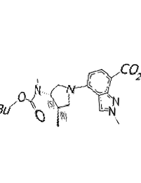 C[C@@H]1CN(c2ccc(C(=O)O)c3nn(C)cc23)C[C@H]1N(C)C(=O)OC(C)(C)C